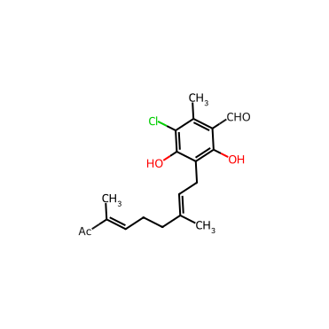 CC(=O)/C(C)=C/CC/C(C)=C/Cc1c(O)c(Cl)c(C)c(C=O)c1O